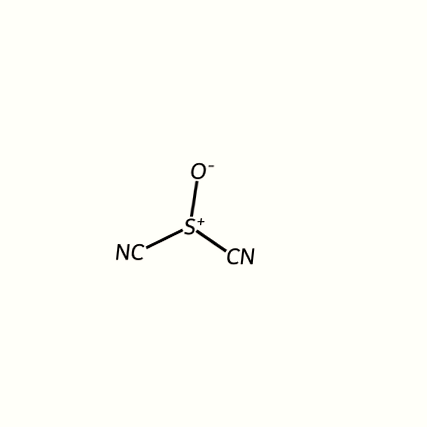 N#C[S+]([O-])C#N